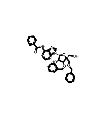 O=C(Nc1ncnc2c1ncn2[C@@H]1O[C@](CO)(COCc2ccccc2)[C@@H](OCc2ccccc2)[C@H]1O)c1ccccc1